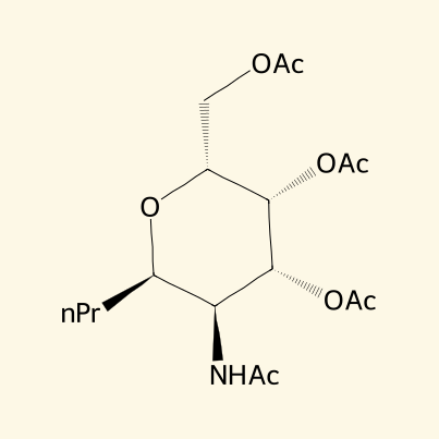 CCC[C@H]1O[C@H](COC(C)=O)[C@H](OC(C)=O)[C@H](OC(C)=O)[C@H]1NC(C)=O